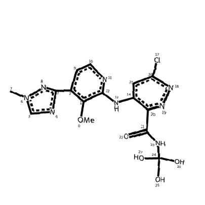 COc1c(-c2ncn(C)n2)ccnc1Nc1cc(Cl)nnc1C(=O)NC(O)(O)O